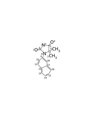 CC1(C)C(=O)[N]C(=O)N1c1ccc2ccccc2c1